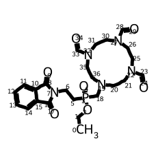 CCOP(=O)(CCN1C(=O)c2ccccc2C1=O)CN1CCN(C=O)CCN(C=O)CCN(C=O)CC1